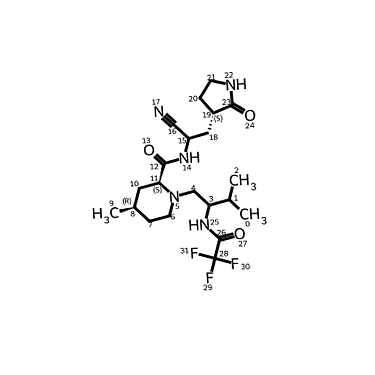 CC(C)C(CN1CC[C@@H](C)C[C@H]1C(=O)NC(C#N)C[C@@H]1CCNC1=O)NC(=O)C(F)(F)F